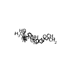 CC(C)CC(=O)N1CCc2cnc(C(=O)Nc3cccc(-c4nnnn4[C@H](C)CO)n3)cc2C1